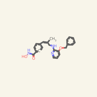 CC(=Cc1ccc(C(=O)NO)cc1)CNc1ncccc1OCc1ccccc1